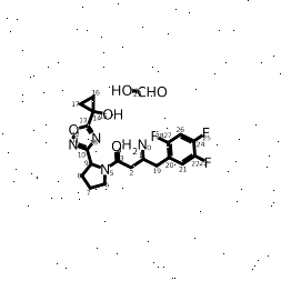 NC(CC(=O)N1CCCC1c1noc(C2(O)CC2)n1)Cc1cc(F)c(F)cc1F.O=CO